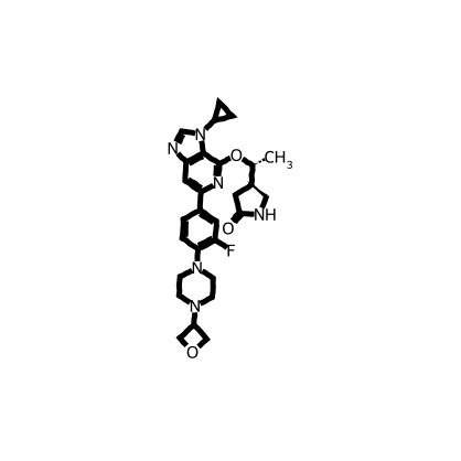 C[C@@H](Oc1nc(-c2ccc(N3CCN(C4COC4)CC3)c(F)c2)cc2ncn(C3CC3)c12)[C@H]1CNC(=O)C1